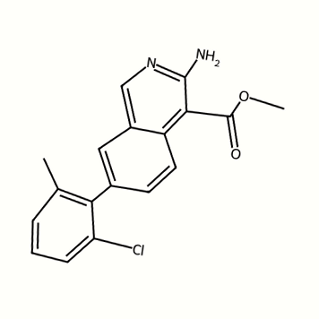 COC(=O)c1c(N)ncc2cc(-c3c(C)cccc3Cl)ccc12